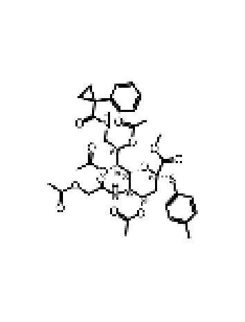 COC(=O)[C@@]1(Sc2ccc(C)cc2)C[C@H](OC(C)=O)[C@@H](NC(=O)COC(C)=O)[C@H]([C@H](OC(C)=O)[C@@H](CNC(=O)C2(c3ccccc3)CC2)OC(C)=O)O1